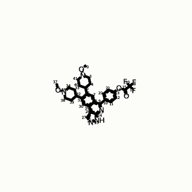 CON1CCC(c2cc3c(-c4ccc(OC(=O)C(F)(F)F)cc4)nc4[nH]ncc4c3cc2C2CCN(OC)CC2)CC1